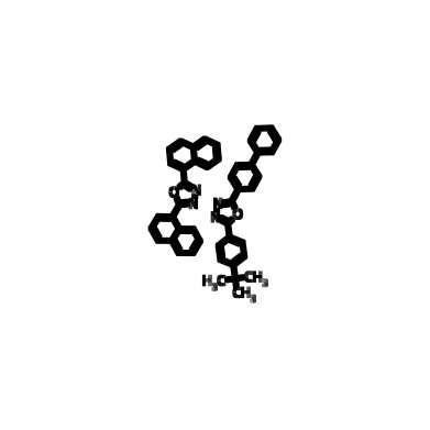 CC(C)(C)c1ccc(-c2nnc(-c3ccc(-c4ccccc4)cc3)o2)cc1.c1ccc2c(-c3nnc(-c4cccc5ccccc45)o3)cccc2c1